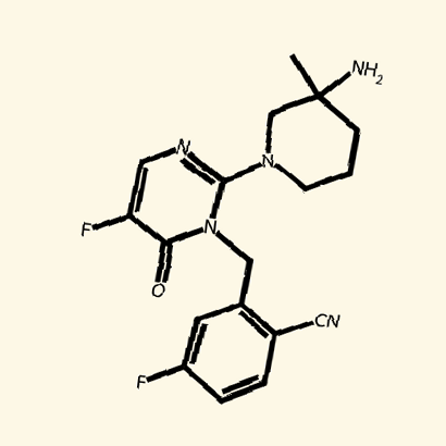 CC1(N)CCCN(c2ncc(F)c(=O)n2Cc2cc(F)ccc2C#N)C1